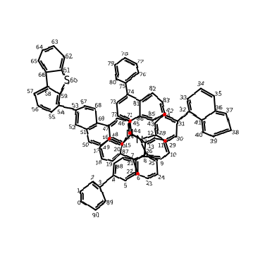 c1ccc(-c2ccc(-c3ccccc3N(c3ccccc3-c3ccccc3N(c3ccc(-c4cccc5ccccc45)cc3)c3ccc4c(ccc5cc(-c6cccc7c6sc6ccccc67)ccc54)c3)c3ccc(-c4ccccc4)c4ccccc34)cc2)cc1